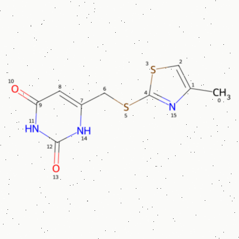 Cc1csc(SCc2cc(=O)[nH]c(=O)[nH]2)n1